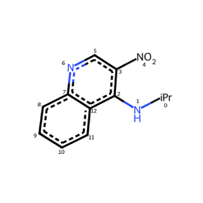 CC(C)Nc1c([N+](=O)[O-])cnc2ccccc12